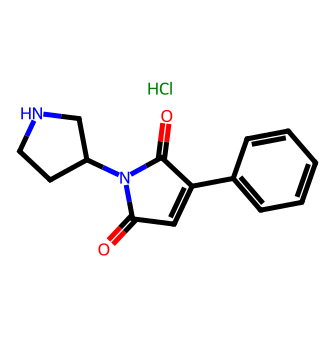 Cl.O=C1C=C(c2ccccc2)C(=O)N1C1CCNC1